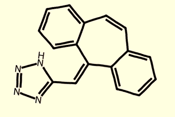 C1=Cc2ccccc2C(=Cc2nnn[nH]2)c2ccccc21